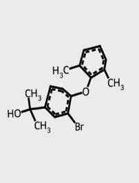 Cc1cccc(C)c1Oc1ccc(C(C)(C)O)cc1Br